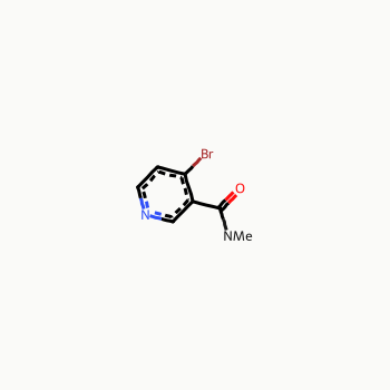 CNC(=O)c1cnccc1Br